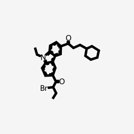 CCC(Br)C(=O)c1ccc2c(c1)c1cc(C(=O)CCC3CCCCC3)ccc1n2CC